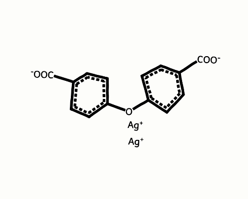 O=C([O-])c1ccc(Oc2ccc(C(=O)[O-])cc2)cc1.[Ag+].[Ag+]